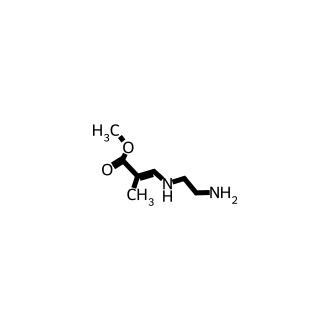 COC(=O)C(C)=CNCCN